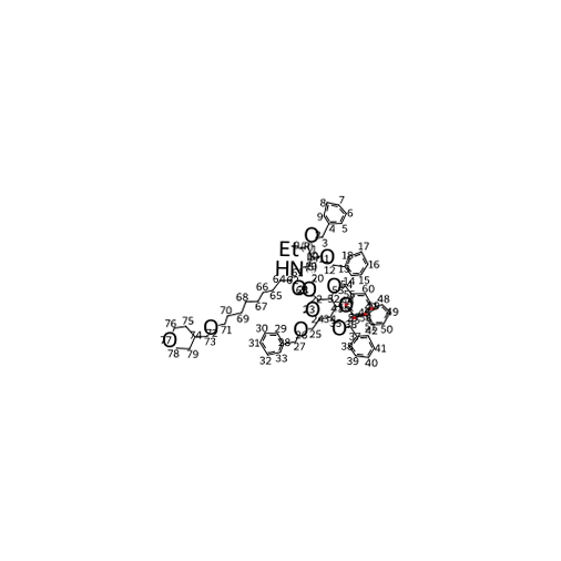 CC[C@@H](OCc1ccccc1)[C@@H](OCc1ccccc1)[C@H](COC1OC(COCc2ccccc2)C(OCc2ccccc2)C(OCc2ccccc2)C1OCc1ccccc1)NC(=O)CCCCCCCCOCC1CCOCC1